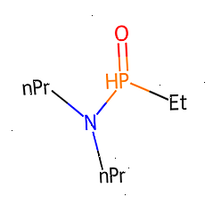 CCCN(CCC)[PH](=O)CC